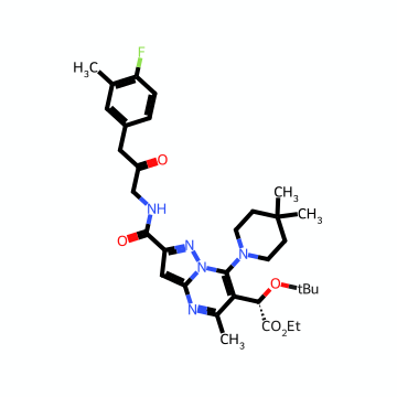 CCOC(=O)[C@@H](OC(C)(C)C)c1c(C)nc2cc(C(=O)NCC(=O)Cc3ccc(F)c(C)c3)nn2c1N1CCC(C)(C)CC1